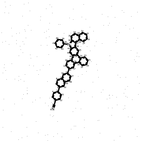 N#Cc1ccc(-c2ccc3cc(-c4ccc5c(c4)c4ccccc4c4cc6c7c8ccccc8ccc7n(-c7ccccc7)c6cc54)ccc3c2)cc1